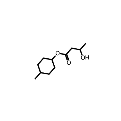 CC(O)CC(=O)OC1CCC(C)CC1